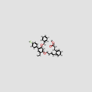 CCc1cc(-c2ccc(F)cc2)c(OCc2ccccc2)cc1OCCC=Cc1ccccc1CCC(=O)OC